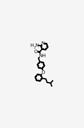 CC(C)CCc1ccccc1Oc1ccc(CNC(=O)c2cccnc2N)cc1